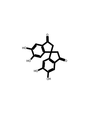 O=C1CC2(CC(=O)c3cc(O)c(O)cc32)c2cc(O)c(O)cc21